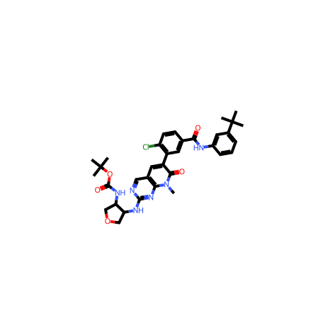 Cn1c(=O)c(-c2cc(C(=O)Nc3cccc(C(C)(C)C)c3)ccc2Cl)cc2cnc(NC3COCC3NC(=O)OC(C)(C)C)nc21